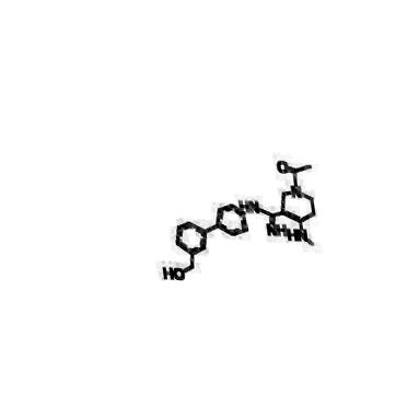 CNC1=C(C(=N)Nc2ccc(-c3cccc(CO)c3)cc2)CN(C(C)=O)CC1